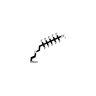 CCCCCCCCC/C=C/OCCC(F)(F)C(F)(F)C(F)(F)C(F)(F)C(F)(F)C(F)(F)F